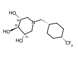 O[C@H]1[C@H](O)CN(C[C@H]2CC[C@@H](C(F)(F)F)CC2)C[C@@H]1O